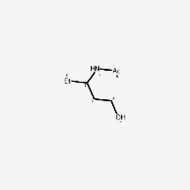 CCC(CCO)NC(C)=O